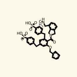 CNCc1cccc2c1CN(C(=O)c1c(Cc3ccc(S(=O)(=O)O)cc3)cc(Cc3ccc(S(=O)(=O)O)cc3)cc1OCc1ccccc1)C2